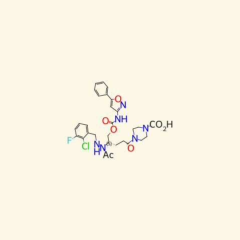 CC(=O)N(NCc1cccc(F)c1Cl)[C@@H](CCC(=O)N1CCN(C(=O)O)CC1)COC(=O)Nc1cc(-c2ccccc2)on1